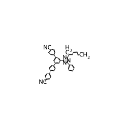 C=C/C=C\C=C(/C)c1nc(-c2ccccc2)nc(-c2cc(-c3ccc(C#N)cc3)cc(-c3ccc(-c4ccc(C#N)cc4)cc3)c2)n1